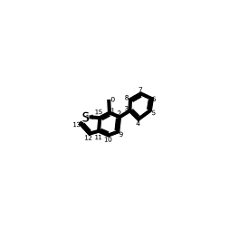 Cc1c(-c2ccccc2)ccc2ccsc12